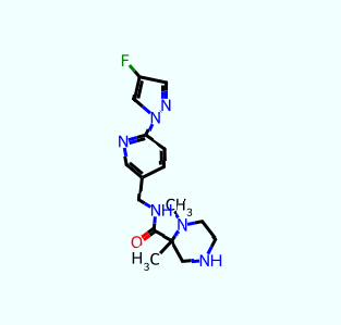 CN1CCNCC1(C)C(=O)NCc1ccc(-n2cc(F)cn2)nc1